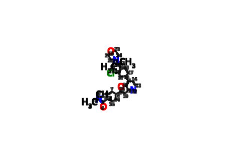 CN(C)C(=O)c1ccc(-c2cc3nccc(-c4ccc(C(C)(C)N5CCOCC5)c(Cl)c4)c3o2)cc1